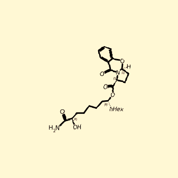 CCCCCC[C@H](CCCCC[C@@H](O)C(N)=O)OC(=O)[C@@H]1CC[C@@H]2Oc3ccccc3C(=O)N21